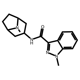 CN1C2CCC1CC(NC(=O)c1nn(C)c3ccccc13)C2